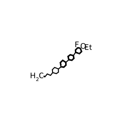 C=CCCC1CCC(c2ccc(-c3ccc(-c4ccc(OCC)c(F)c4)cc3)cc2)CC1